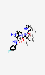 CN[C@@H](C)C(=O)N[C@H](C(=O)N1CC[C@H]2NC[C@H](C(=O)NCc3ccc(F)cc3)[C@H]21)C(C)(C)C